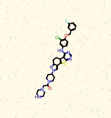 O=C(CN1CCNCC1)N1CCC(n2cc3c(n2)CCc2c-3sc3ncnc(Nc4ccc(OCc5cccc(F)c5)c(Cl)c4)c23)CC1